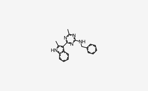 Cc1nc(NCc2ccccc2)nc(-c2c(C)[nH]c3ccccc23)n1